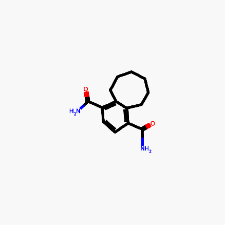 NC(=O)c1ccc(C(N)=O)c2c1CCCCCC2